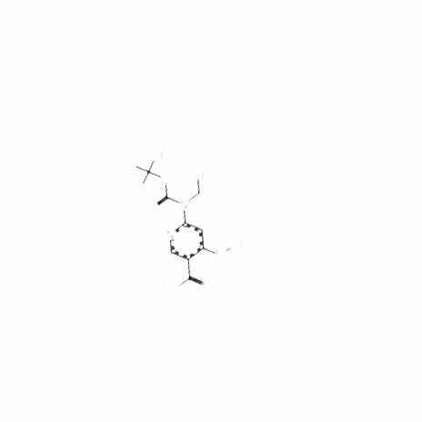 C=C(C)c1cnc(N(CC)C(=O)OC(C)(C)C)cc1OC